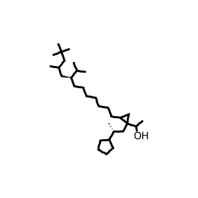 CC(C[C@H](CCCCCCCC1CC1(C[C@@H](C)C1CCCC1)C(C)O)C(C)C)CC(C)(C)C